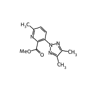 COC(=O)c1nc(C)ccc1-n1nc(C)c(C)n1